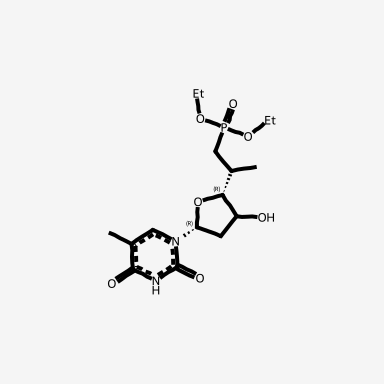 CCOP(=O)(CC(C)[C@H]1O[C@@H](n2cc(C)c(=O)[nH]c2=O)CC1O)OCC